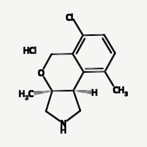 Cc1ccc(Cl)c2c1[C@H]1CNC[C@@]1(C)OC2.Cl